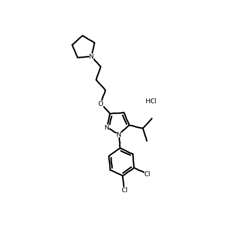 CC(C)c1cc(OCCCN2CCCC2)nn1-c1ccc(Cl)c(Cl)c1.Cl